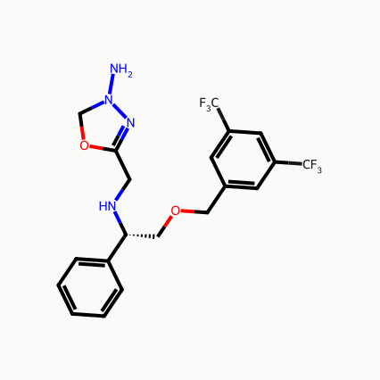 NN1COC(CN[C@H](COCc2cc(C(F)(F)F)cc(C(F)(F)F)c2)c2ccccc2)=N1